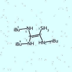 CCC(C)NC([SiH3])=C(NC(C)CC)NC(C)CC